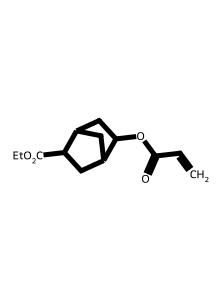 [CH2]COC(=O)C1CC2CC1CC2OC(=O)C=C